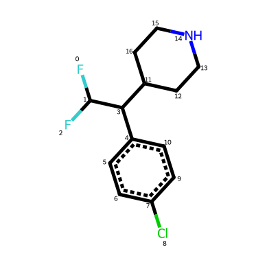 FC(F)C(c1ccc(Cl)cc1)C1CCNCC1